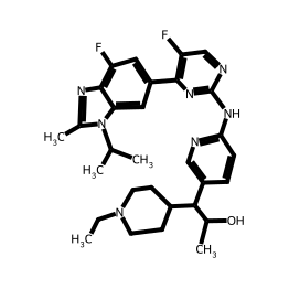 CCN1CCC(C(c2ccc(Nc3ncc(F)c(-c4cc(F)c5nc(C)n(C(C)C)c5c4)n3)nc2)C(C)O)CC1